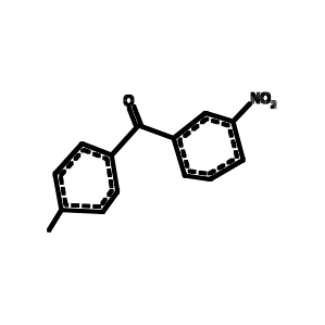 Cc1ccc(C(=O)c2cccc([N+](=O)[O-])c2)cc1